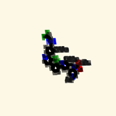 COc1cc(-c2nccc(-c3cccc(-c4ccc(CN(C(=O)OC(C)(C)C)C5CCN(C(C)=O)CC5)c(OC)n4)c3Cl)c2Cl)ccc1CNCC(F)F